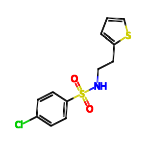 O=S(=O)(NCCc1cccs1)c1ccc(Cl)cc1